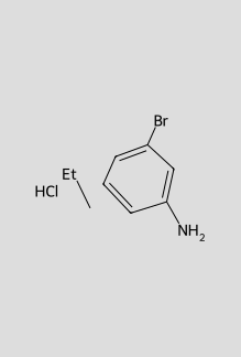 CCC.Cl.Nc1cccc(Br)c1